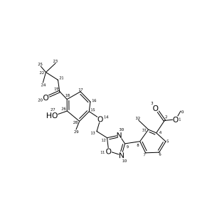 COC(=O)c1cccc(-c2noc(COc3ccc(C(=O)CC(C)(C)C)c(O)c3C)n2)c1C